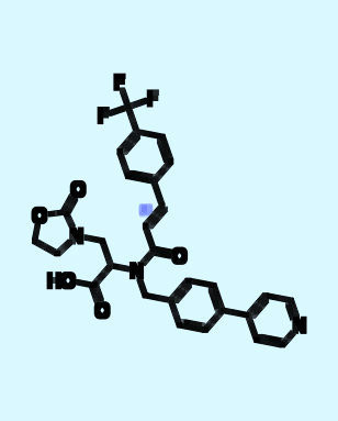 O=C(O)C(CN1CCOC1=O)N(Cc1ccc(-c2ccncc2)cc1)C(=O)/C=C/c1ccc(C(F)(F)F)cc1